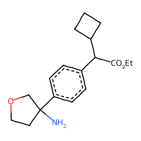 CCOC(=O)C(c1ccc(C2(N)CCOC2)cc1)C1CCC1